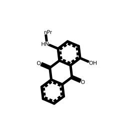 CCCNc1ccc(O)c2c1C(=O)c1ccccc1C2=O